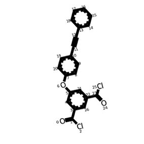 O=C(Cl)c1cc(Oc2ccc(C#Cc3ccccc3)cc2)cc(C(=O)Cl)c1